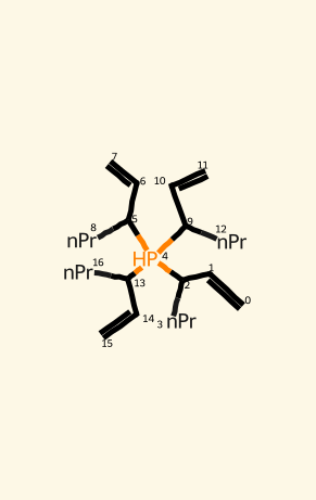 C=CC(CCC)[PH](C(C=C)CCC)(C(C=C)CCC)C(C=C)CCC